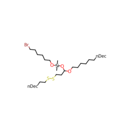 CCCCCCCCCCCCCCCCOC(CCSSCCCCCCCCCCCC)O[Si](C)(C)OCCCCCCBr